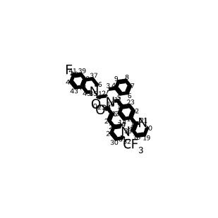 O=C([C@H](Cc1ccccc1)N(Cc1ccc(-c2ccccn2)cc1)C(=O)C=Cc1ccc(C(F)(F)F)nc1)N1CCc2cc(F)ccc2C1